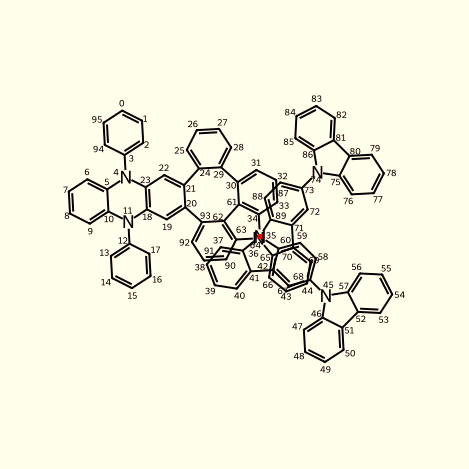 c1ccc(-n2c3ccccc3n(-c3ccccc3)c3cc4c(cc32)c2ccccc2c2cccc(-n3c5ccccc5c5cc(-n6c7ccccc7c7ccccc76)ccc53)c2c2c(-n3c5ccccc5c5cc(-n6c7ccccc7c7ccccc76)ccc53)cccc42)cc1